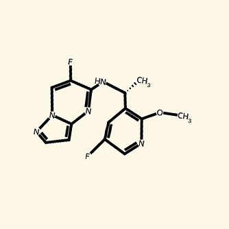 COc1ncc(F)cc1[C@@H](C)Nc1nc2ccnn2cc1F